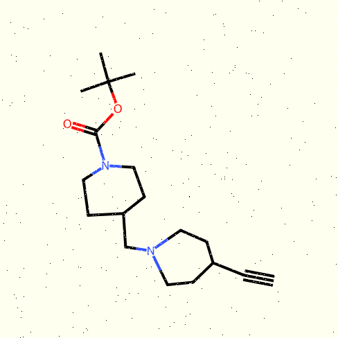 C#CC1CCN(CC2CCN(C(=O)OC(C)(C)C)CC2)CC1